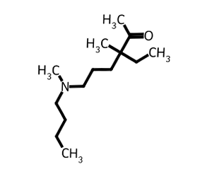 CCCCN(C)CCCC(C)(CC)C(C)=O